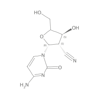 N#C[C@H]1[C@H](O)C(CO)O[C@H]1n1ccc(N)nc1=O